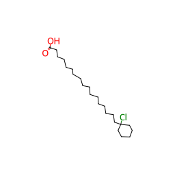 O=C(O)CCCCCCCCCCCCCCCCC1(Cl)CCCCC1